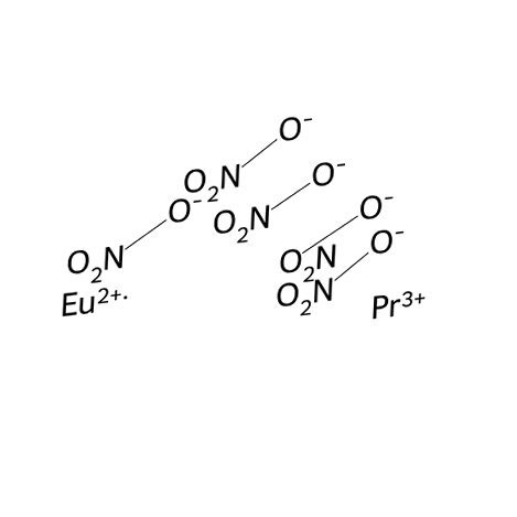 O=[N+]([O-])[O-].O=[N+]([O-])[O-].O=[N+]([O-])[O-].O=[N+]([O-])[O-].O=[N+]([O-])[O-].[Eu+2].[Pr+3]